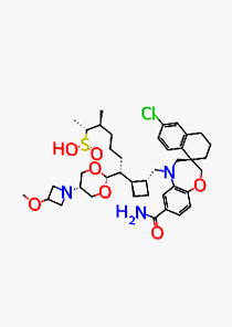 COC1CN([C@H]2CO[C@@H]([C@H](CCC[C@H](C)[C@@H](C)S(=O)O)[C@@H]3CC[C@H]3CN3C[C@@]4(CCCc5cc(Cl)ccc54)COc4ccc(C(N)=O)cc43)OC2)C1